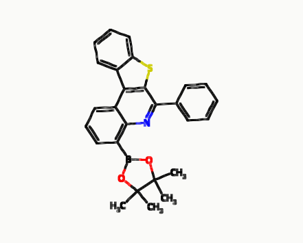 CC1(C)OB(c2cccc3c2nc(-c2ccccc2)c2sc4ccccc4c23)OC1(C)C